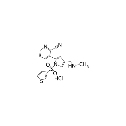 CNCc1cc(-c2cccnc2C#N)n(S(=O)(=O)c2ccsc2)c1.Cl